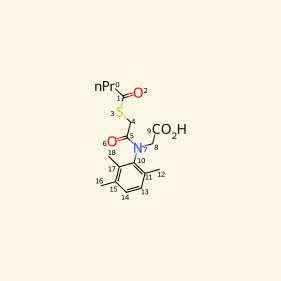 CCCC(=O)SCC(=O)N(CC(=O)O)c1c(C)ccc(C)c1C